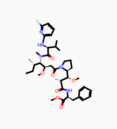 CC[C@H](C)[C@@H]([C@@H](CC(=O)N1CCC[C@H]1[C@H](OC)[C@@H](C)C(=O)N[C@@H](Cc1ccccc1)C(=O)OC)OC)N(C)C(=O)[C@@H](Nc1cccc(F)n1)C(C)C